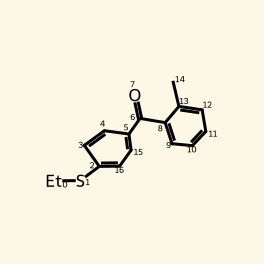 CCSc1ccc(C(=O)c2ccccc2C)cc1